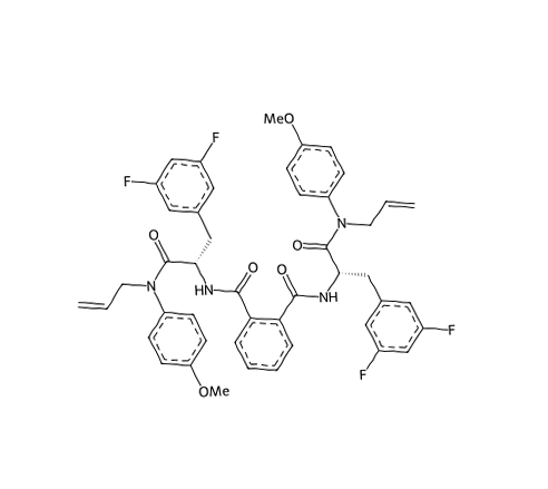 C=CCN(C(=O)[C@H](Cc1cc(F)cc(F)c1)NC(=O)c1ccccc1C(=O)N[C@@H](Cc1cc(F)cc(F)c1)C(=O)N(CC=C)c1ccc(OC)cc1)c1ccc(OC)cc1